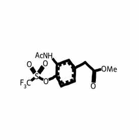 COC(=O)Cc1ccc(OS(=O)(=O)C(F)(F)F)c(NC(C)=O)c1